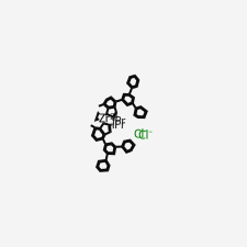 Cc1ccc(-c2cc(-c3ccccc3)cc(-c3ccccc3)c2)c2c1[CH]([Zr+2]1([CH]3C(C(C)C)=Cc4c(-c5cc(-c6ccccc6)cc(-c6ccccc6)c5)ccc(C)c43)[CH2][CH2]1)C(C(C)C)=C2.[Cl-].[Cl-]